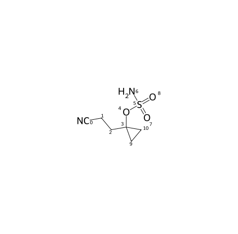 N#CCCC1(OS(N)(=O)=O)CC1